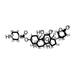 C[C@]12CC[C@H](OC(=O)N3CCNCC3)C[C@H]1CC[C@@H]1C2[C@H](O)C(=O)[C@]2(C)[C@@H](c3ccc(=O)oc3)CC[C@]12O